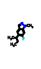 CCC(C)c1cc2cnn(C)c2cc1F